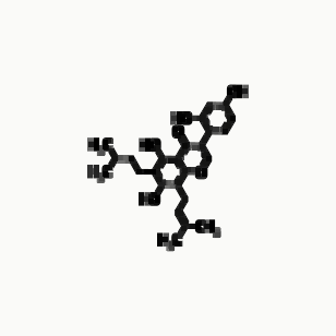 CC(C)=CCc1c(O)c(CC=C(C)C)c2occ(-c3ccc(O)cc3O)c(=O)c2c1O